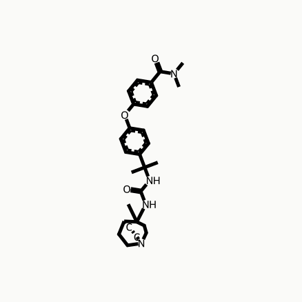 CN(C)C(=O)c1ccc(Oc2ccc(C(C)(C)NC(=O)NC3(C)CCN4CCC3CC4)cc2)cc1